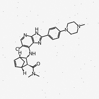 CN1CCN(c2ccc(-c3nc4c(N[C@H]5[C@@H](C(=O)N(C)C)[C@@H]6C=C[C@H]5C6)c(Cl)cnc4[nH]3)cc2)CC1